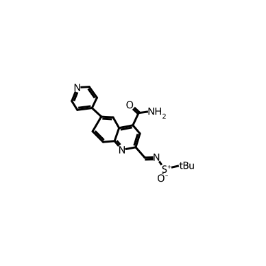 CC(C)(C)[S+]([O-])/N=C/c1cc(C(N)=O)c2cc(-c3ccncc3)ccc2n1